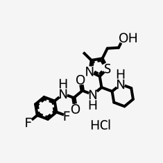 Cc1nc(C(NC(=O)C(=O)Nc2ccc(F)cc2F)C2CCCCN2)sc1CCO.Cl